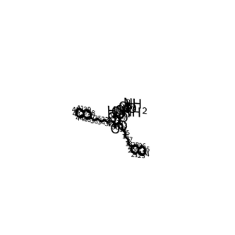 NS(=O)(=O)NC(=O)OC(C(=O)O)C(OCCCCCc1ccc2ccccc2c1)C(=O)NCCCCCc1ccc2ccccc2c1